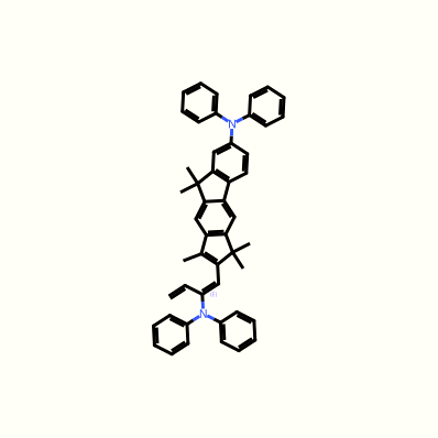 C=C/C(=C\C1=C(C)c2cc3c(cc2C1(C)C)-c1ccc(N(c2ccccc2)c2ccccc2)cc1C3(C)C)N(c1ccccc1)c1ccccc1